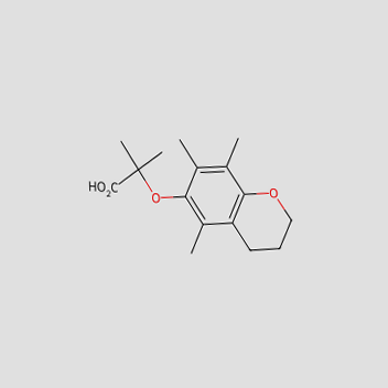 Cc1c(C)c2c(c(C)c1OC(C)(C)C(=O)O)CCCO2